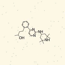 CC(O)CCc1ccccc1-c1ccnc(NC2CC(C)(C)NC(C)(C)C2)n1